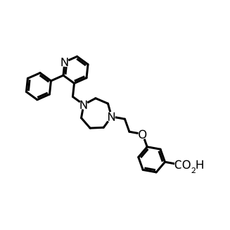 O=C(O)c1cccc(OCCN2CCCN(Cc3cccnc3-c3ccccc3)CC2)c1